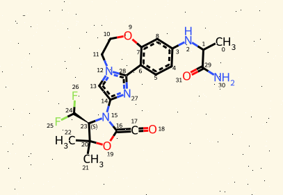 CC(Nc1ccc2c(c1)OCCn1cc(N3C(=C=O)OC(C)(C)[C@H]3C(F)F)nc1-2)C(N)=O